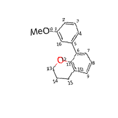 COc1cccc(-c2cccc3c2O[CH]CC3)c1